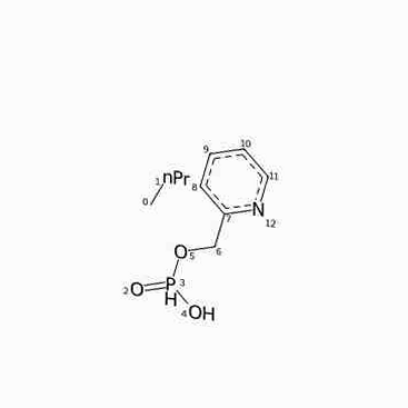 CCCC.O=[PH](O)OCc1ccccn1